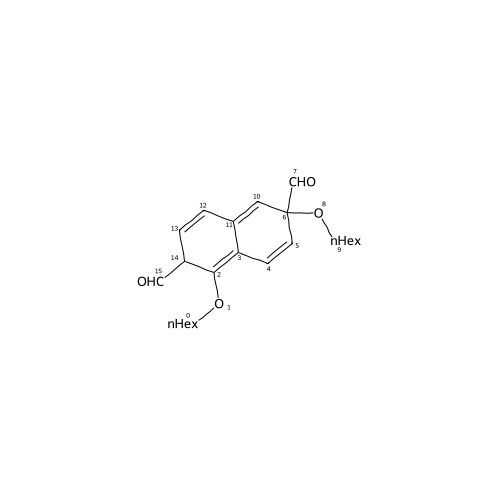 CCCCCCOC1=C2C=CC(C=O)(OCCCCCC)C=C2C=CC1C=O